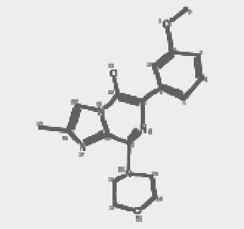 COc1cccc(-c2nc(N3CCOCC3)c3nc(C)cn3c2Cl)c1